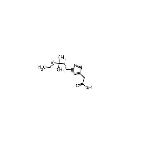 CCOC(C)(C)CCn1cc(CC(=O)O)nn1